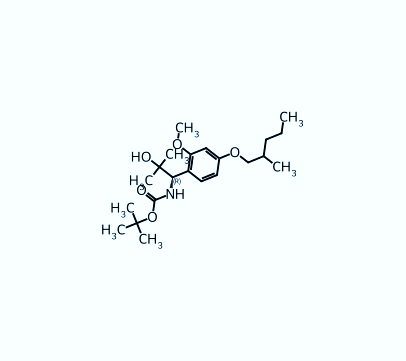 CCCC(C)COc1ccc([C@@H](NC(=O)OC(C)(C)C)C(C)(C)O)c(OC)c1